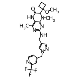 COC1(C2C(=O)Nc3c(C)nc(NCc4cnn(Cc5ccnc(C(F)(F)F)c5)c4)nc3N2C)CCC1